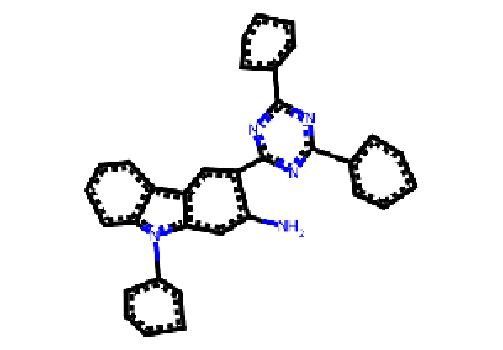 Nc1cc2c(cc1-c1nc(-c3ccccc3)nc(-c3ccccc3)n1)c1ccccc1n2-c1ccccc1